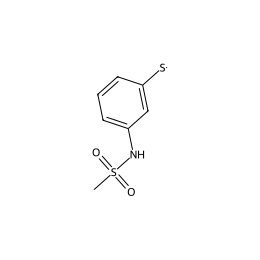 CS(=O)(=O)Nc1cccc([S])c1